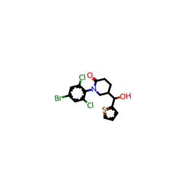 O=C1CCC(C(O)c2cccs2)CN1c1c(Cl)cc(Br)cc1Cl